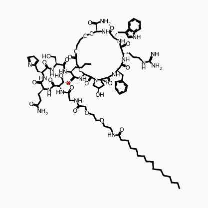 CCCCCCCCCCCCCCCC(=O)NCCOCCOCC(=O)NCC(=O)N[C@H](C(=O)N[C@@H](CCC(N)=O)C(=O)N[C@@H](CC1=CCC=N1)C(=O)N[C@@H](CO)C(=O)N[C@@H](CCCC)C(=O)N[C@H]1CCC(=O)CCCCC[C@@H](C(N)=O)NC(=O)[C@H](Cc2c[nH]c3ccccc23)NC(=O)[C@H](CCCNC(=N)N)NC(=O)[C@@H](Cc2ccccc2)NC(=O)[C@@H]2C[C@@H](O)CN2C1=O)[C@@H](C)O